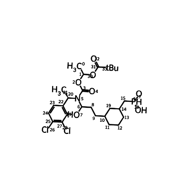 CC(OC(=O)N(C(O)CCC1CCCC(C[PH](=O)O)C1)[C@H](C)c1ccc(Cl)c(Cl)c1)OC(=O)C(C)(C)C